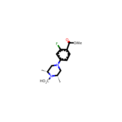 COC(=O)c1ccc(N2C[C@@H](C)N(C(=O)O)[C@@H](C)C2)cc1F